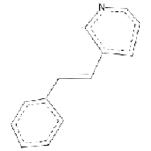 [c]1ncccc1/C=C/c1ccccc1